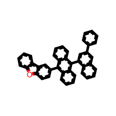 c1ccc(-c2cc(-c3c4ccccc4c(-c4ccc5oc6ccccc6c5c4)c4ccccc34)c3ccccc3c2)cc1